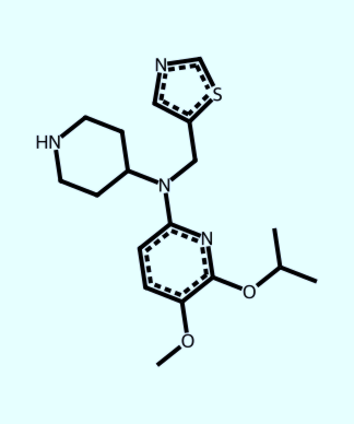 COc1ccc(N(Cc2cncs2)C2CCNCC2)nc1OC(C)C